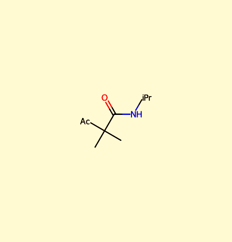 CC(=O)C(C)(C)C(=O)NC(C)C